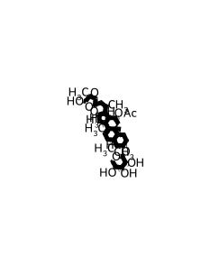 CC(=O)O[C@@H]1C[C@@]23C[C@@]24CC[C@H](O[C@@H]2OC[C@@H](O)[C@H](O)[C@H]2O)C(C)(C)[C@@H]4CC=C3[C@]2(C)C[C@@H]3OC4(C[C@@H](C)[C@@H]3[C@@]12C)OC(O)C1(C)OC41